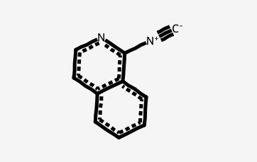 [C-]#[N+]c1nccc2ccccc12